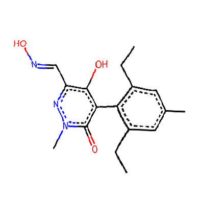 CCc1cc(C)cc(CC)c1-c1c(O)c(C=NO)nn(C)c1=O